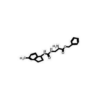 Cc1ccc2c(c1)CCC2NC(=O)NC[C@H](N)C(=O)OCc1ccccc1